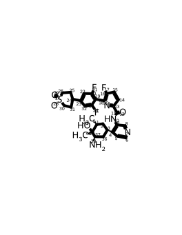 C[C@H]1C[C@@H](c2ccncc2NC(=O)c2ccc(F)c(-c3c(F)cc(C4CCS(=O)(=O)CC4)cc3F)n2)C[C@@H](N)[C@]1(C)O